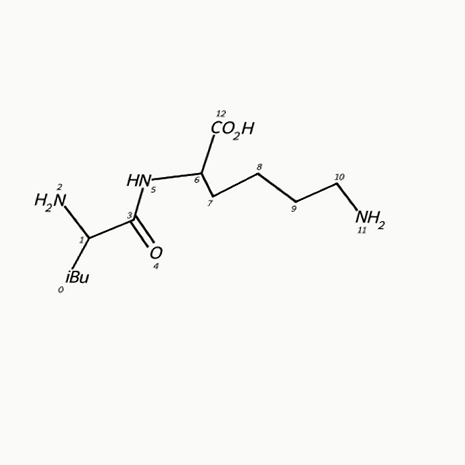 CCC(C)C(N)C(=O)NC(CCCCN)C(=O)O